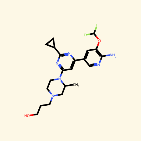 CC1CN(CCCO)CCN1c1cc(-c2cnc(N)c(OC(F)F)c2)nc(C2CC2)n1